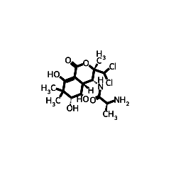 C[C@H](N)C(=O)N[C@@H]1[C@H]2C(=C(O)C(C)(C)[C@@H](O)[C@@H]2O)C(=O)O[C@]1(C)C(Cl)Cl